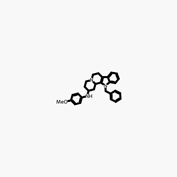 COc1ccc(NC2CCN3CCc4c(n(Cc5ccccc5)c5ccccc45)C3C2)cc1